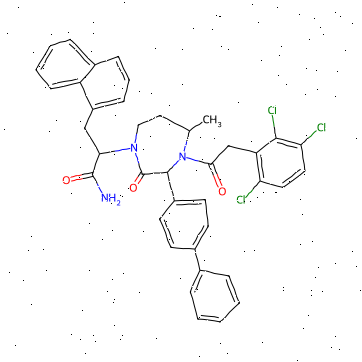 CC1CCN(C(Cc2cccc3ccccc23)C(N)=O)C(=O)C(c2ccc(-c3ccccc3)cc2)N1C(=O)Cc1c(Cl)ccc(Cl)c1Cl